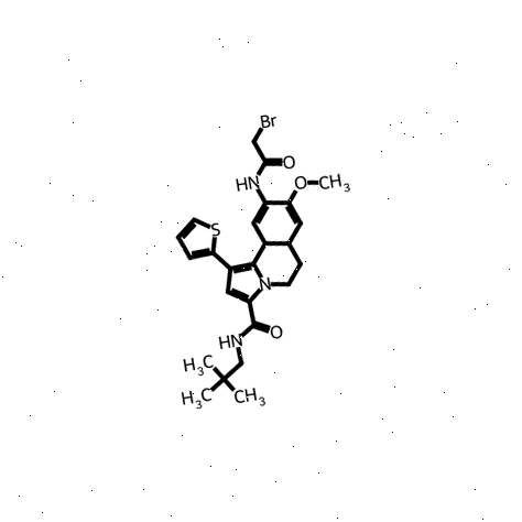 COC1=CC2CCn3c(C(=O)NCC(C)(C)C)cc(-c4cccs4)c3C2C=C1NC(=O)CBr